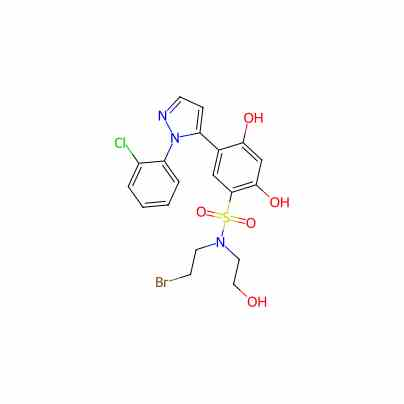 O=S(=O)(c1cc(-c2ccnn2-c2ccccc2Cl)c(O)cc1O)N(CCO)CCBr